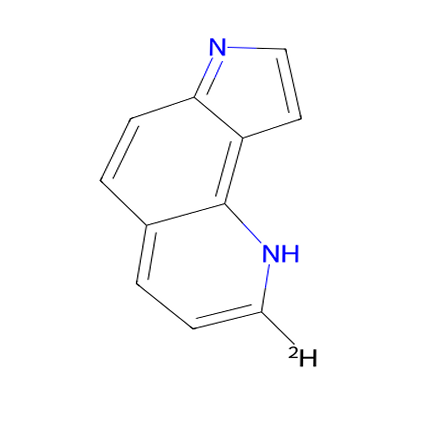 [2H]c1ccc2ccc3nccc3c2[nH]1